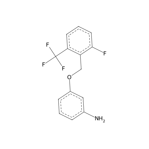 Nc1cccc(OCc2c(F)cccc2C(F)(F)F)c1